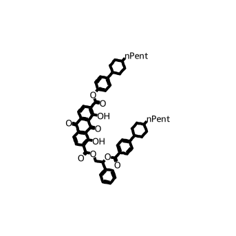 CCCCCC1CCC(c2ccc(OC(=O)c3ccc4c(c3O)C(=O)c3c(ccc(C(=O)OCC(OC(=O)c5ccc(C6CCC(CCCCC)CC6)cc5)c5ccccc5)c3O)C4=O)cc2)CC1